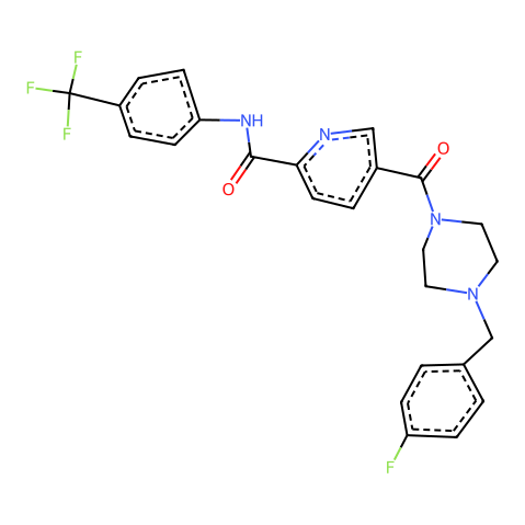 O=C(Nc1ccc(C(F)(F)F)cc1)c1ccc(C(=O)N2CCN(Cc3ccc(F)cc3)CC2)cn1